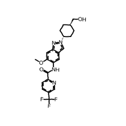 COc1cc2nn([C@H]3CC[C@H](CO)CC3)cc2cc1NC(=O)c1ccc(C(F)(F)F)cn1